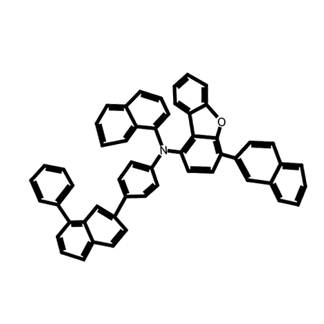 c1ccc(-c2cccc3ccc(-c4ccc(N(c5cccc6ccccc56)c5ccc(-c6ccc7ccccc7c6)c6oc7ccccc7c56)cc4)cc23)cc1